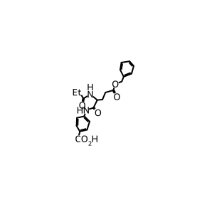 CCC(=O)NC(CCC(=O)OCc1ccccc1)C(=O)Nc1ccc(C(=O)O)cc1